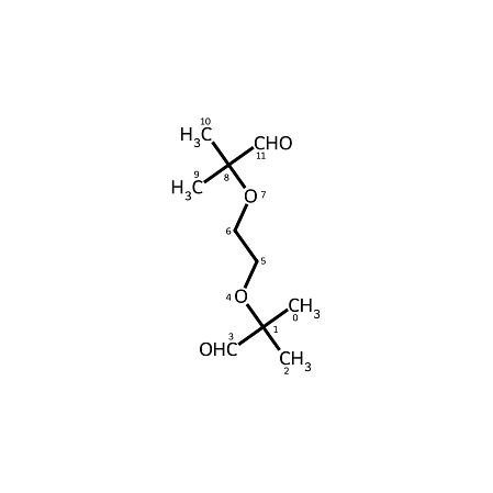 CC(C)(C=O)OCCOC(C)(C)C=O